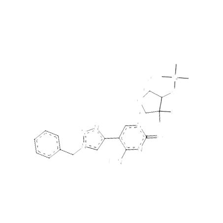 CC[C@H]1O[C@@H](n2cc(-c3cn(Cc4ccccc4)nn3)c(N)nc2=O)C(F)(F)C1O[Si](C)(C)C